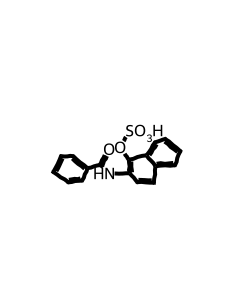 O=C(Nc1ccc2ccccc2c1OS(=O)(=O)O)c1ccccc1